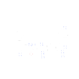 N#C[C@@H](NC(=O)c1nc2cc3c(-c4ccncc4)n[nH]c3cc2[nH]1)c1ccccc1